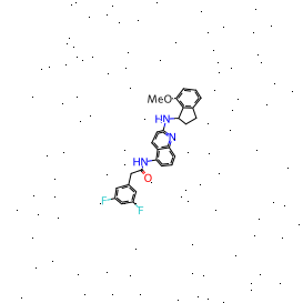 COc1cccc2c1C(Nc1ccc3c(NC(=O)Cc4cc(F)cc(F)c4)cccc3n1)CC2